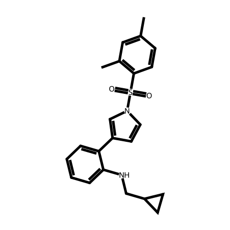 Cc1ccc(S(=O)(=O)n2ccc(-c3ccccc3NCC3CC3)c2)c(C)c1